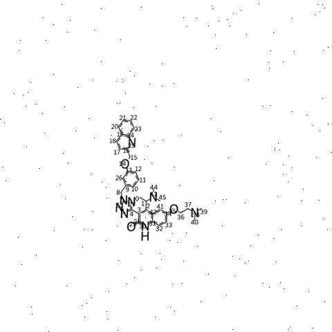 CC(c1c(-c2nnn(Cc3cccc(OCc4ccc5ccccc5n4)c3)n2)c(=O)[nH]c2ccc(OCCN(C)C)cc12)N(C)C